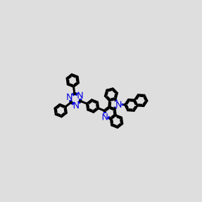 c1ccc(-c2nc(-c3ccccc3)nc(-c3ccc(-c4nc5ccccc5c5c4c4ccccc4n5-c4ccc5ccccc5c4)cc3)n2)cc1